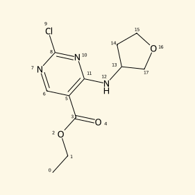 CCOC(=O)c1cnc(Cl)nc1NC1CCOC1